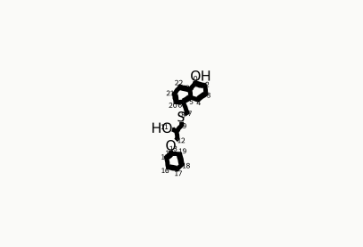 Oc1cccc2c(CSCC(O)COc3ccccc3)cccc12